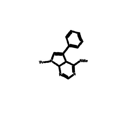 CNC1=NC=NC2C1C(c1ccccc1)=CN2C(C)C